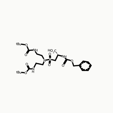 CC(C)(C)OC(=O)NCCN(CCNC(=O)OC(C)(C)C)S(=O)(=O)C[C@@H](NC(=O)OCc1ccccc1)C(=O)O